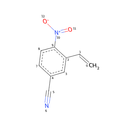 C=[C]c1cc(C#N)ccc1[N+](=O)[O-]